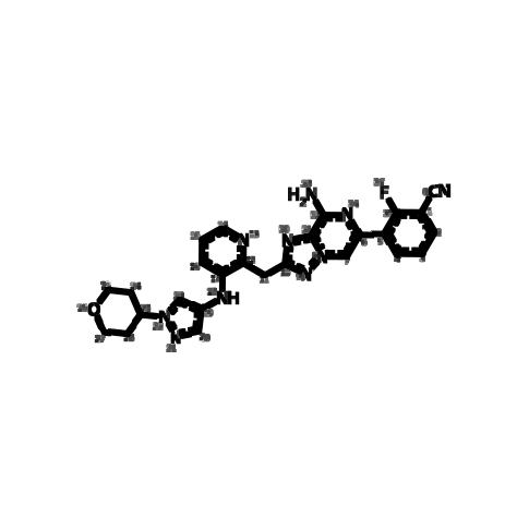 N#Cc1cccc(-c2cn3nc(Cc4ncccc4Nc4cnn(C5CCOCC5)c4)nc3c(N)n2)c1F